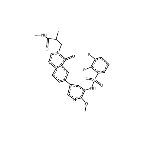 CNC(=O)C(C)Cn1cnc2ccc(-c3cnc(OC)c(NS(=O)(=O)c4cccc(F)c4F)c3)cc2c1=O